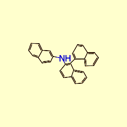 c1ccc2cc(Nc3ccc4ccccc4c3-c3cccc4ccccc34)ccc2c1